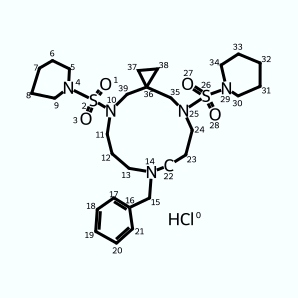 Cl.O=S(=O)(N1CCCCC1)N1CCCN(Cc2ccccc2)CCCN(S(=O)(=O)N2CCCCC2)CC2(CC2)C1